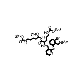 CNCc1c(Br)cccc1Sc1ncccc1CNC(CCCNC(=O)OC(C)(C)C)C(=O)NC(C=O)CCCCNC(=O)OC(C)(C)C